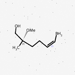 B/C=C\CC[C@@](C)(CO)OC